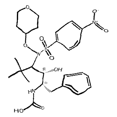 CC(C)(C)C([C@H](O)[C@H](Cc1ccccc1)NC(=O)O)N(OC1CCOCC1)S(=O)(=O)c1ccc([N+](=O)[O-])cc1